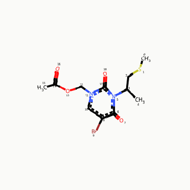 CSCC(C)n1c(=O)c(Br)cn(COC(C)=O)c1=O